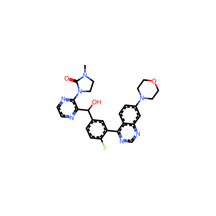 CN1CCN(c2nccnc2C(O)c2ccc(F)c(-c3ncnc4cc(N5CCOCC5)ccc34)c2)C1=O